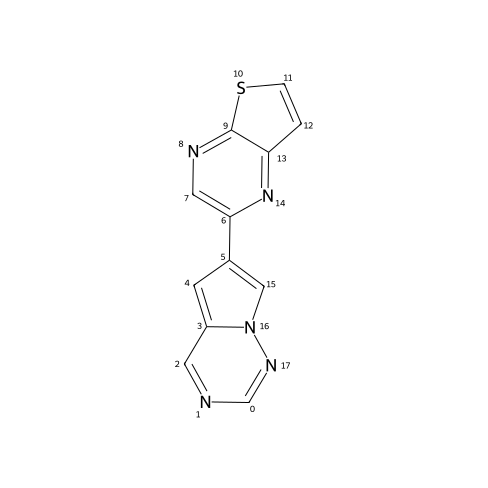 c1ncc2cc(-c3cnc4sccc4n3)cn2n1